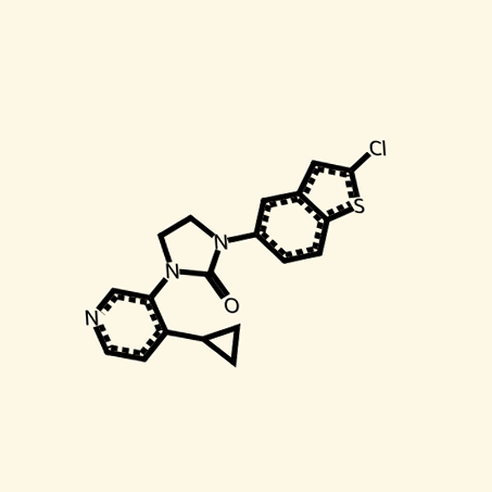 O=C1N(c2ccc3sc(Cl)cc3c2)CCN1c1cnccc1C1CC1